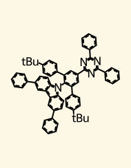 CC(C)(C)c1ccc(-c2cc(-c3nc(-c4ccccc4)nc(-c4ccccc4)n3)cc(-c3ccc(C(C)(C)C)cc3)c2-n2c3ccc(-c4ccccc4)cc3c3cc(-c4ccccc4)ccc32)cc1